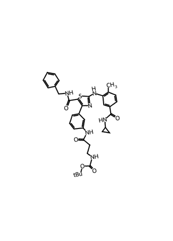 Cc1ccc(C(=O)NC2CC2)cc1Nc1nc(-c2cccc(NC(=O)CCNC(=O)OC(C)(C)C)c2)c(C(=O)NCc2ccccc2)s1